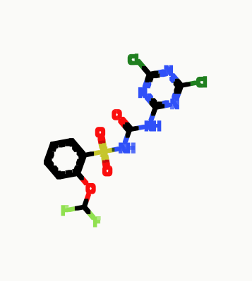 O=C(Nc1nc(Cl)nc(Cl)n1)NS(=O)(=O)c1ccccc1OC(F)F